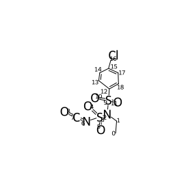 CCN(S(=O)(=O)N=C=O)S(=O)(=O)c1ccc(Cl)cc1